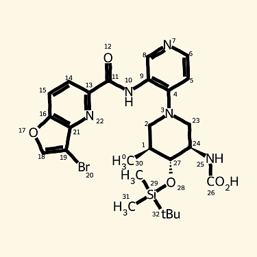 C[C@H]1CN(c2ccncc2NC(=O)c2ccc3occ(Br)c3n2)C[C@@H](NC(=O)O)[C@@H]1O[Si](C)(C)C(C)(C)C